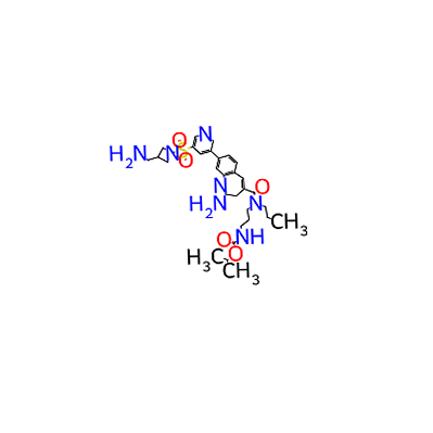 CCCN(CCCNC(=O)OC(C)C)C(=O)C1=Cc2ccc(-c3cncc(S(=O)(=O)N4CC(CN)C4)c3)cc2N=C(N)C1